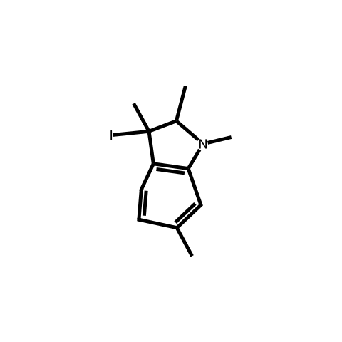 Cc1ccc2c(c1)N(C)C(C)C2(C)I